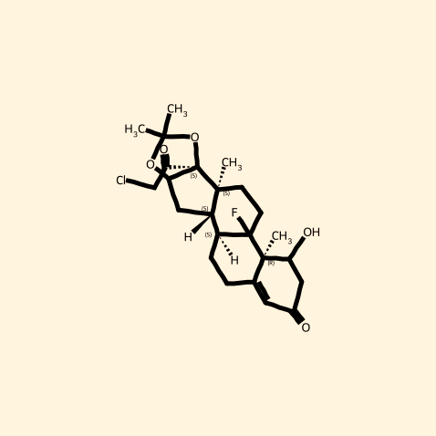 CC1(C)OC2C[C@H]3[C@@H]4CCC5=CC(=O)CC(O)[C@]5(C)C4(F)CC[C@]3(C)[C@]2(C(=O)CCl)O1